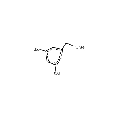 COCc1cc(C(C)(C)C)cc(C(C)(C)C)c1